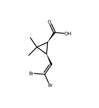 CC1(C)[C@H](C=C(Br)Br)[C@@H]1C(=O)O